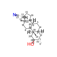 C[C@H]1C[C@@H]2CC[C@@H]3[C@H](CC[C@]4(C)[C@H](C#N)CC[C@@H]34)[C@@]2(C)C[C@@H]1O